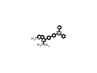 Cc1ccc2ccc3c(-c4ccc(-c5ccc(-c6nc(-c7ccccc7)nc(-c7ccccn7)n6)cc5)cc4)cc(C(C)C)nc3c2n1